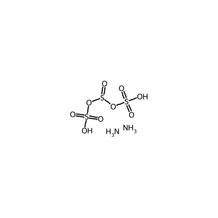 N.N.O=S(OS(=O)(=O)O)OS(=O)(=O)O